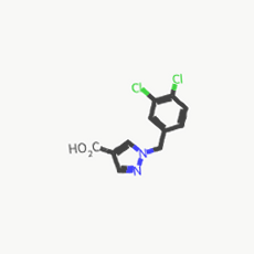 O=C(O)c1cnn(Cc2ccc(Cl)c(Cl)c2)c1